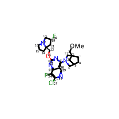 COCC12CCC(CN(c3nc(OC[C@@]45CCCN4C[C@H](F)C5)nc4c(F)c(Cl)ncc34)C1)C2